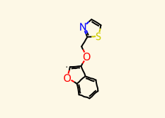 [c]1oc2ccccc2c1OCc1nccs1